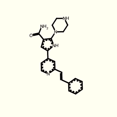 NC(=O)c1cc(-c2ccnc(C=Cc3ccccc3)c2)[nH]c1N1CCNCC1